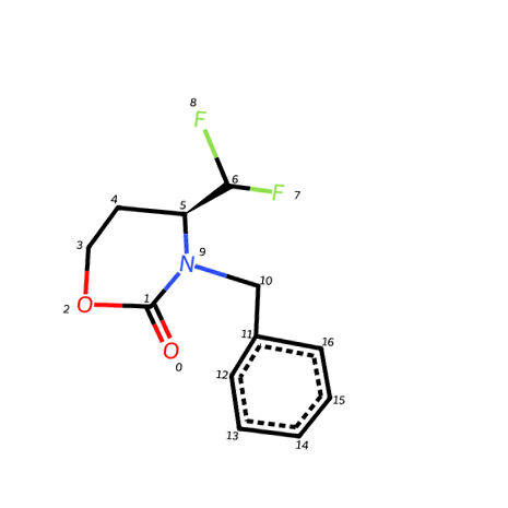 O=C1OCC[C@@H](C(F)F)N1Cc1ccccc1